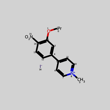 CC(C)Oc1cc(-c2cc[n+](C)cc2)ccc1[N+](=O)[O-].[I-]